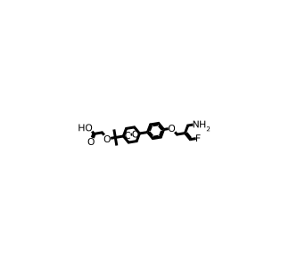 CC(C)(OCC(=O)O)C12CCC(c3ccc(OC/C(=C/F)CN)cc3)(CC1)CC2